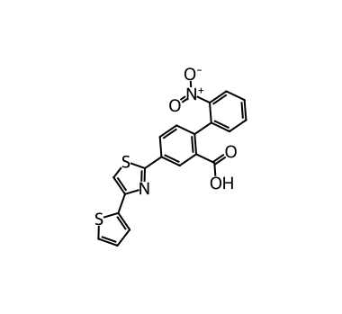 O=C(O)c1cc(-c2nc(-c3cccs3)cs2)ccc1-c1ccccc1[N+](=O)[O-]